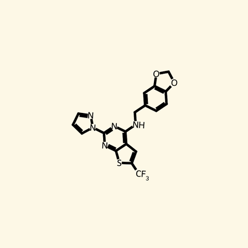 FC(F)(F)c1cc2c(NCc3ccc4c(c3)OCO4)nc(-n3cccn3)nc2s1